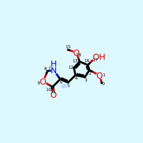 COc1cc(/C=C2\NCOC2=O)cc(OC)c1O